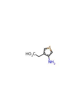 Nc1cscc1CC(=O)O